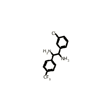 NC(c1ccc(C(F)(F)F)cc1)C(N)c1cccc(Cl)c1